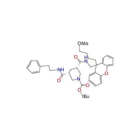 COCCCCC1(CNC(=O)[C@H]2C[C@@H](C(=O)NCCc3ccccc3)CN(C(=O)OC(C)(C)C)C2)c2ccccc2Oc2ccccc21